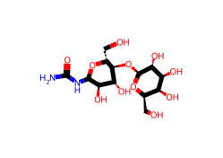 NC(=O)NC1O[C@H](CO)[C@@H](O[C@@H]2O[C@H](CO)[C@H](O)[C@H](O)[C@H]2O)[C@H](O)[C@H]1O